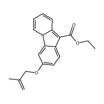 C=C(C)COc1ccc2c(C(=O)OCC)c3ccccn3c2c1